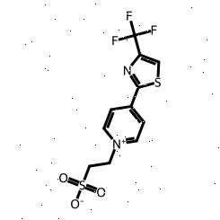 O=S(=O)([O-])CC[n+]1ccc(-c2nc(C(F)(F)F)cs2)cc1